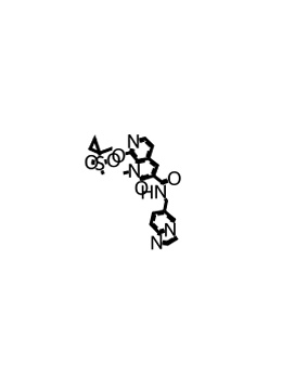 Cn1c(=O)c(C(=O)NCc2ccc3nccn3c2)cc2ccnc(OCC3(S(C)(=O)=O)CC3)c21